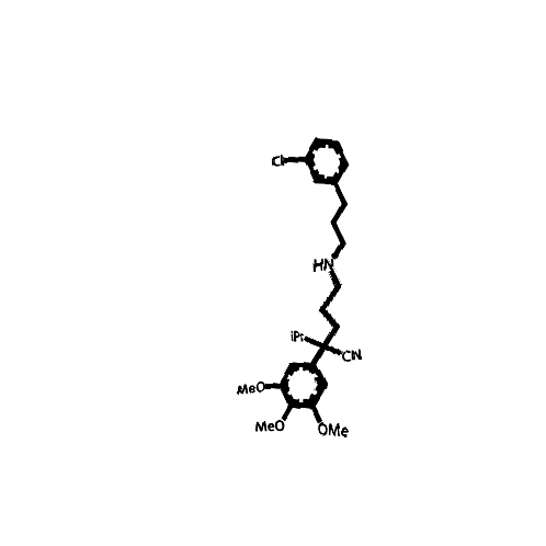 COc1cc(C(C#N)(CCCNCCCc2cccc(Cl)c2)C(C)C)cc(OC)c1OC